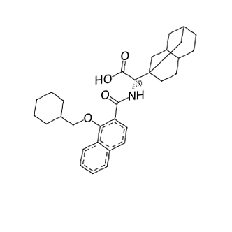 O=C(N[C@H](C(=O)O)C12CCC3CCC(CC3C1)C2)c1ccc2ccccc2c1OCC1CCCCC1